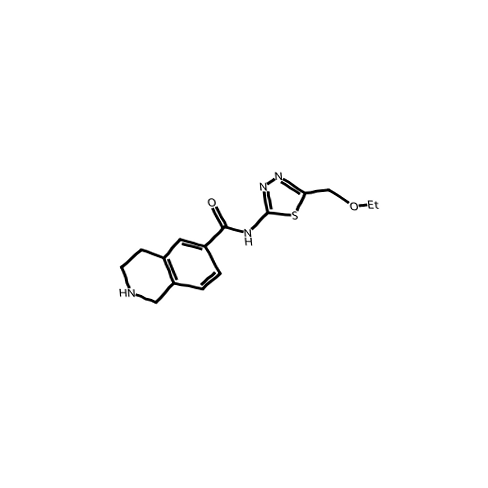 CCOCc1nnc(NC(=O)c2ccc3c(c2)CCNC3)s1